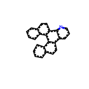 c1ccc2c(c1)ccc1c3cccnc3c3ccc4ccccc4c3c21